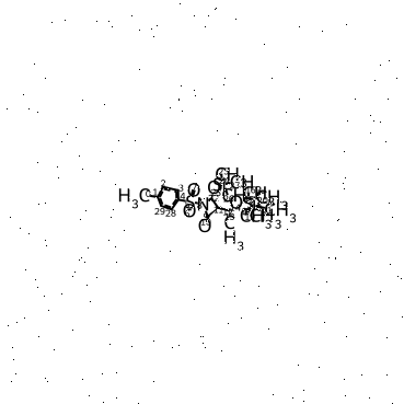 Cc1ccc(S(=O)(=O)N2C(=O)[C@H]([C@@H](C)O[Si](C)(C)C(C)(C)C)[C@H]2O[Si](C)(C)C)cc1